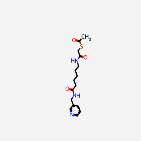 CC(=O)SCC(=O)NCCCCCC(=O)NCc1cccnc1